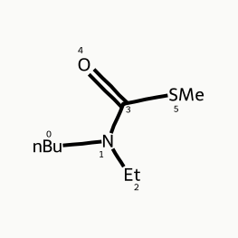 CCCCN(CC)C(=O)SC